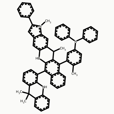 Cc1ccc(N(c2ccccc2)c2ccccc2)cc1-c1c2c(c(-c3cccc4c3Nc3ccccc3C4(C)C)c3ccccc13)Bc1cc3cc(-c4ccccc4)n(C)c3cc1C2C